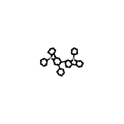 c1ccc(-c2cc3c(cc2-c2ccc4c5ccccc5n(-c5ccccc5)c4c2)c2ccccc2n3-c2ccccc2)cc1